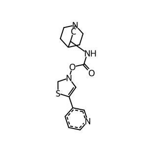 O=C(NC1CN2CCC1CC2)ON1C=C(c2cccnc2)SC1